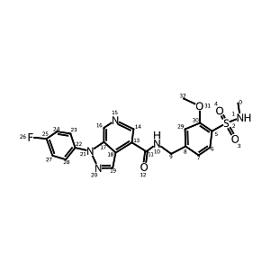 CNS(=O)(=O)c1ccc(CNC(=O)c2cncc3c2cnn3-c2ccc(F)cc2)cc1OC